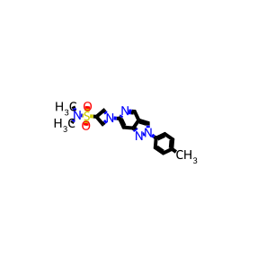 Cc1ccc(-n2cc3cnc(N4CC(S(=O)(=O)N(C)C)C4)cc3n2)cc1